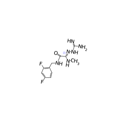 CN/C(=N\NC(=N)N)C(=O)NCc1ccc(F)cc1F